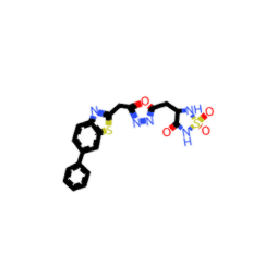 O=C1NS(=O)(=O)NC1Cc1nnc(Cc2nc3ccc(-c4ccccc4)cc3s2)o1